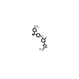 Cc1ccc(C2(c3ccc(Oc4cnc(-c5cnn(C)c5)cc4F)cc3)CC2)cc1